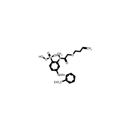 C=CCCOCC(=O)N(C)c1cc(NC(C)=O)ccc1[As](=O)(O)OO.CCOC(=O)c1ccccc1